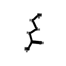 O=C(O)SSSS